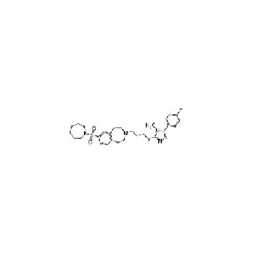 Cn1c(SCCCN2CCc3ccc(S(=O)(=O)N4CCCCCC4)cc3CC2)nnc1-c1ccc(F)cc1